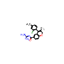 CC1=C(c2ccc(C)cc2F)c2cc(C(=O)N=C(N)N)ccc2OC1